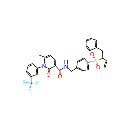 C=CC(Cc1ccccc1)S(=O)(=O)c1ccc(CNC(=O)c2ccc(C)n(-c3cccc(C(F)(F)F)c3)c2=O)cc1